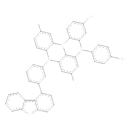 Cc1cc2c3c(c1)N(c1ccc(C(C)(C)C)cc1)c1cc(C(C)(C)C)ccc1B3c1cc(C(C)(C)C)ccc1N2c1cccc(-c2cccc3oc4ccccc4c23)c1